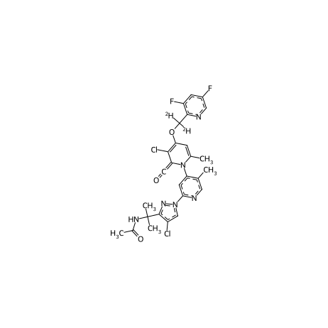 [2H]C([2H])(OC1=C(Cl)C(=C=O)N(c2cc(-n3cc(Cl)c(C(C)(C)NC(C)=O)n3)ncc2C)C(C)=C1)c1ncc(F)cc1F